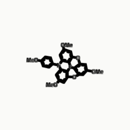 COc1ccc(N2c3cc(OC)cc4c3B3c5c(cc(OC)cc5Oc5cc(OC)cc2c53)O4)cc1